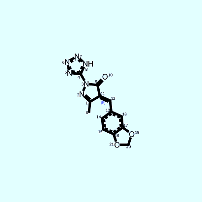 CC1=NN(c2nnn[nH]2)C(=O)/C1=C/c1ccc2c(c1)OCO2